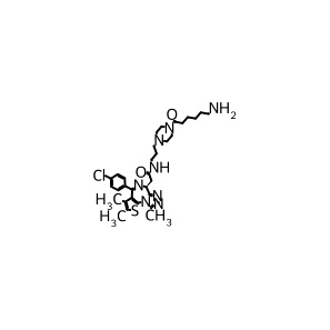 Cc1sc2c(c1C)C(c1ccc(Cl)cc1)=N[C@@H](CC(=O)NCCCN1CCN(C(=O)CCCCCN)CC1)c1nnc(C)n1-2